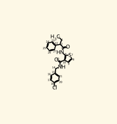 CCC(C(=O)Nc1sccc1C(=O)NCc1ccc(Cl)cc1)c1ccccc1